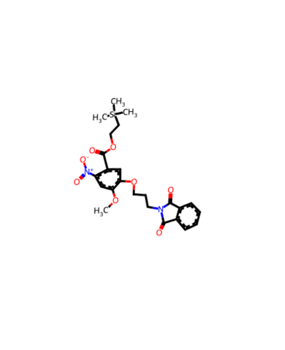 COc1cc([N+](=O)[O-])c(C(=O)OCC[Si](C)(C)C)cc1OCCCN1C(=O)c2ccccc2C1=O